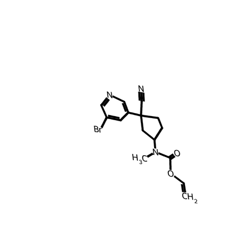 C=COC(=O)N(C)C1CCC(C#N)(c2cncc(Br)c2)C1